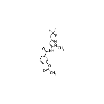 CC(=O)Oc1cccc(C(=O)Nc2cc(CC(F)(F)F)nn2C)c1